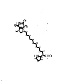 CN1CN(CCCCCCCCCCCN(C=O)C2CCCN2)c2c1c(=O)[nH]c(=O)n2C